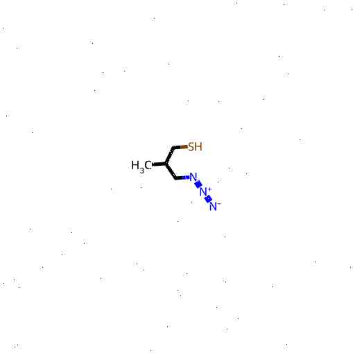 CC(CS)CN=[N+]=[N-]